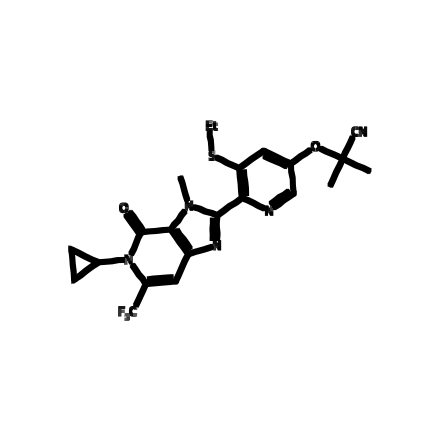 CCSc1cc(OC(C)(C)C#N)cnc1-c1nc2cc(C(F)(F)F)n(C3CC3)c(=O)c2n1C